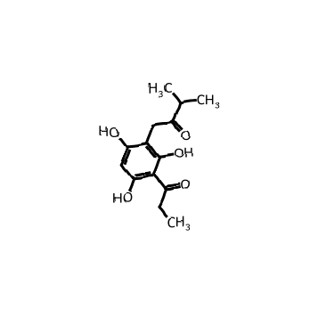 CCC(=O)c1c(O)cc(O)c(CC(=O)C(C)C)c1O